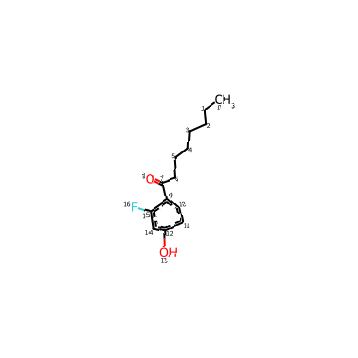 CCCCCCCC(=O)c1ccc(O)cc1F